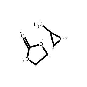 CC1CO1.O=C1OCCO1